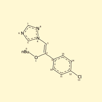 CCCCOC(=Cn1cncn1)c1ccc(Cl)cc1